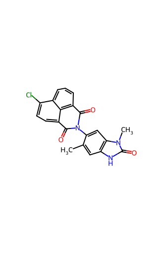 Cc1cc2[nH]c(=O)n(C)c2cc1N1C(=O)c2cccc3c(Cl)ccc(c23)C1=O